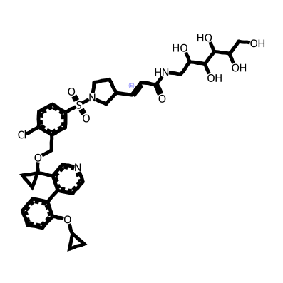 O=C(/C=C/C1CCN(S(=O)(=O)c2ccc(Cl)c(COC3(c4cnccc4-c4ccccc4OC4CC4)CC3)c2)C1)NCC(O)C(O)C(O)C(O)CO